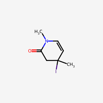 CN1C=CC(C)(I)CC1=O